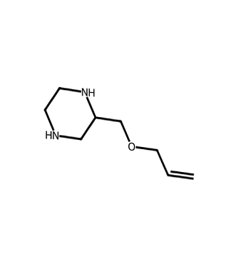 C=CCOCC1CNCCN1